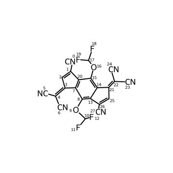 N#CC1=CC(=C(C#N)C#N)c2c(OC(F)F)c3c(c(OC(F)F)c21)C(=C(C#N)C#N)C=C3C#N